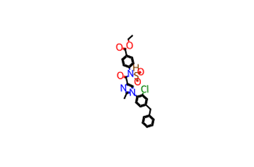 CCOC(=O)c1ccc(N(C(=O)c2cn(-c3ccc(Cc4ccccc4)cc3Cl)c(C)n2)[SH](=O)=O)cc1